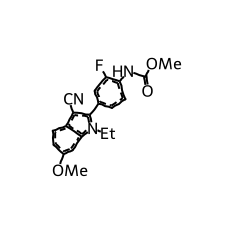 CCn1c(-c2ccc(NC(=O)OC)c(F)c2)c(C#N)c2ccc(OC)cc21